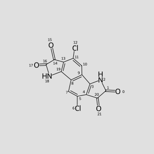 O=c1[nH]c2c(c(Cl)cc3c2cc(Cl)c2c(=O)c(=O)[nH]c23)c1=O